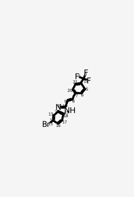 FC(F)(F)c1ccc(/C=C/c2nc3cc(Br)ccc3[nH]2)cc1